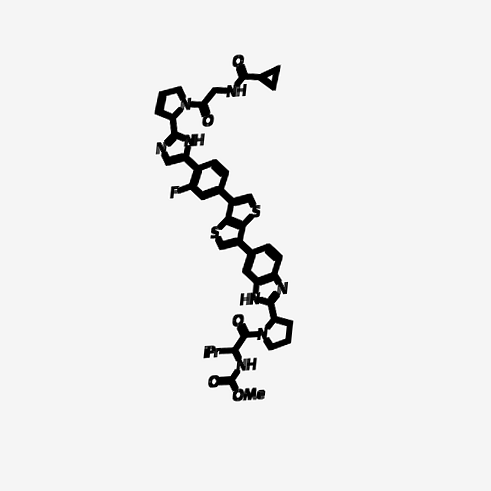 COC(=O)NC(C(=O)N1CCCC1c1nc2ccc(-c3csc4c(-c5ccc(-c6cnc(C7C=CCN7C(=O)CNC(=O)C7CC7)[nH]6)c(F)c5)csc34)cc2[nH]1)C(C)C